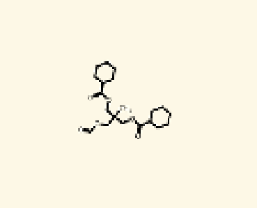 CC(COC=O)(COC(=O)C1CCCCC1)COC(=O)C1CCCCC1